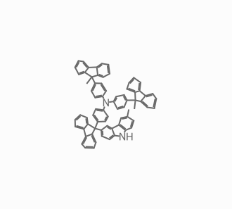 Cc1ccc2[nH]c3ccc(C4(c5ccc(N(c6ccc(C7(C)c8ccccc8-c8ccccc87)cc6)c6ccc(C7(C)c8ccccc8-c8ccccc87)cc6)cc5)c5ccccc5-c5ccccc54)cc3c2c1